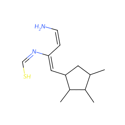 CC1CC(/C=C(\C=C/N)/N=C\S)C(C)C1C